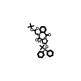 CC(C)(C)OC(=O)CN1C(=O)[C@@H]2C[C@@H](O[Si](c3ccccc3)(c3ccccc3)C(C)(C)C)CN2C(=O)c2ccccc21